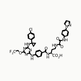 O=C(NCC[C@H](NC(=O)c1ccc(Nc2nc(NC3(c4ccc(Cl)cc4)CC3)nc(OCC(F)(F)F)n2)cc1)C(=O)O)C(=O)Nc1ccc(-n2cccn2)cc1